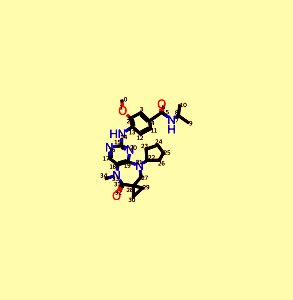 COc1cc(C(=O)NC(C)C)ccc1Nc1ncc2c(n1)N(C1CCCC1)CC1(CC1)C(=O)N2C